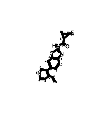 C=Cc1ccncc1-c1ccc2nc(NC(=O)C3CC3F)sc2c1